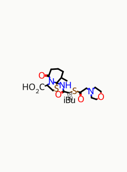 CC[C@H](C)[C@H](SC(=O)CN1CCOCC1)C(=O)NC12SCC(C(=O)O)N1C(=O)CCCC2C